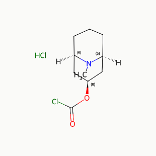 CN1[C@@H]2CCC[C@H]1C[C@@H](OC(=O)Cl)C2.Cl